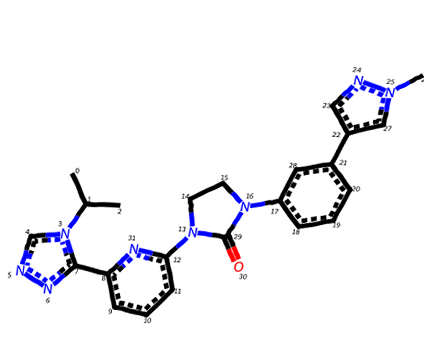 CC(C)n1cnnc1-c1cccc(N2CCN(c3cccc(-c4cnn(C)c4)c3)C2=O)n1